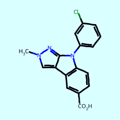 Cn1cc2c3cc(C(=O)O)ccc3n(-c3cccc(Cl)c3)c2n1